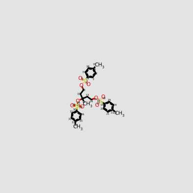 Cc1ccc(S(=O)(=O)OCCC(C)(CCOS(=O)(=O)c2ccc(C)cc2)OS(=O)(=O)c2ccc(C)cc2)cc1